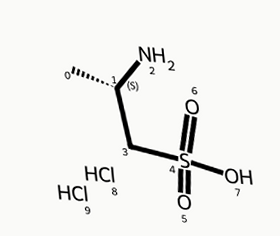 C[C@H](N)CS(=O)(=O)O.Cl.Cl